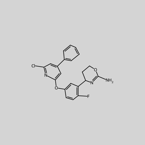 NC1=NC(c2cc(Oc3cc(-c4ccccc4)cc(Cl)n3)ccc2F)CCO1